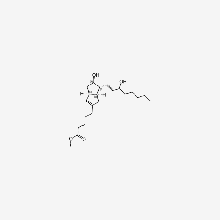 CCCCCC(O)C=C[C@@H]1[C@H]2CC(CCCCC(=O)OC)=C[C@H]2C[C@H]1O